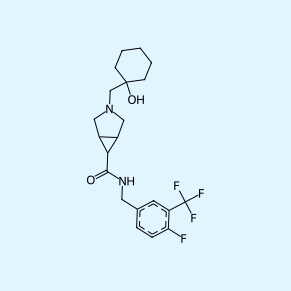 O=C(NCc1ccc(F)c(C(F)(F)F)c1)C1C2CN(CC3(O)CCCCC3)CC21